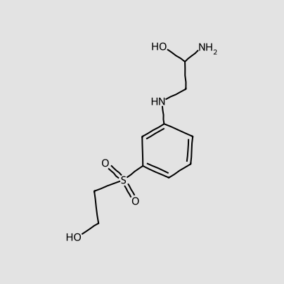 NC(O)CNc1cccc(S(=O)(=O)CCO)c1